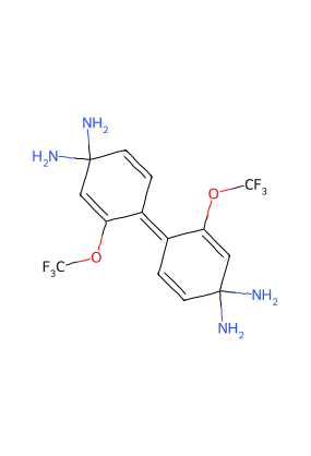 NC1(N)C=CC(=C2C=CC(N)(N)C=C2OC(F)(F)F)C(OC(F)(F)F)=C1